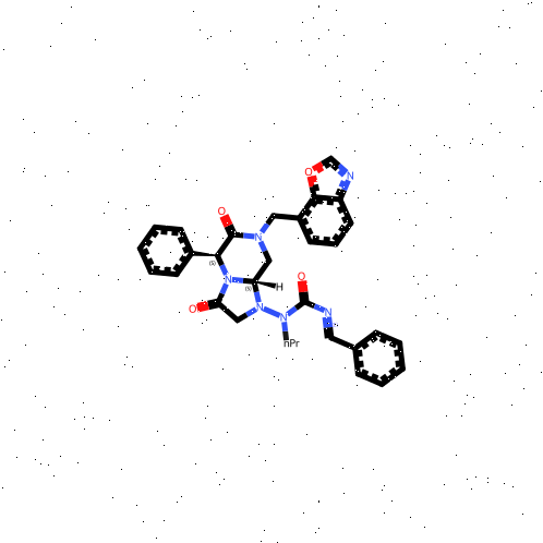 CCCN(C(=O)/N=C/c1ccccc1)N1CC(=O)N2[C@@H](c3ccccc3)C(=O)N(Cc3cccc4ncoc34)C[C@@H]21